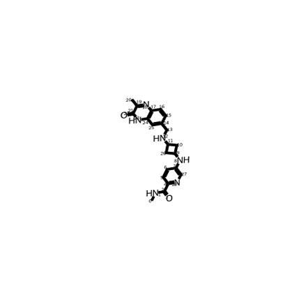 CNC(=O)c1ccc(NC2CC(NCc3ccc4nc(C)c(=O)[nH]c4c3)C2)cn1